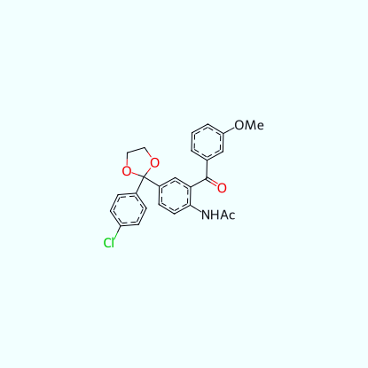 COc1cccc(C(=O)c2cc(C3(c4ccc(Cl)cc4)OCCO3)ccc2NC(C)=O)c1